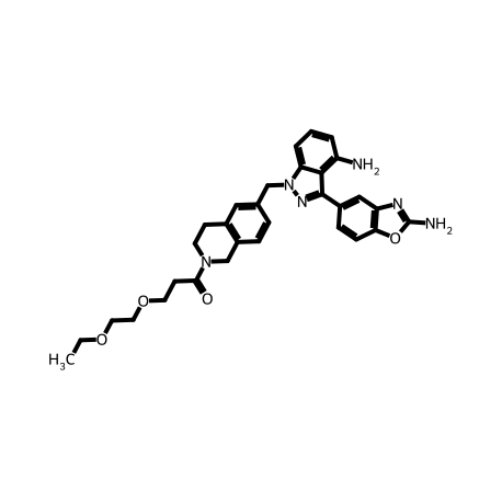 CCOCCOCCC(=O)N1CCc2cc(Cn3nc(-c4ccc5oc(N)nc5c4)c4c(N)cccc43)ccc2C1